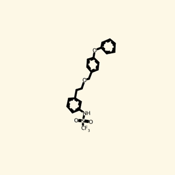 O=S(=O)(Nc1cccc(CCOCc2ccc(Oc3ccccc3)cc2)c1)C(F)(F)F